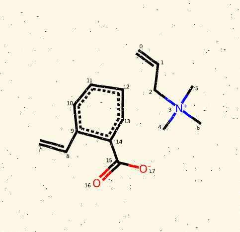 C=CC[N+](C)(C)C.C=Cc1ccccc1C(=O)[O-]